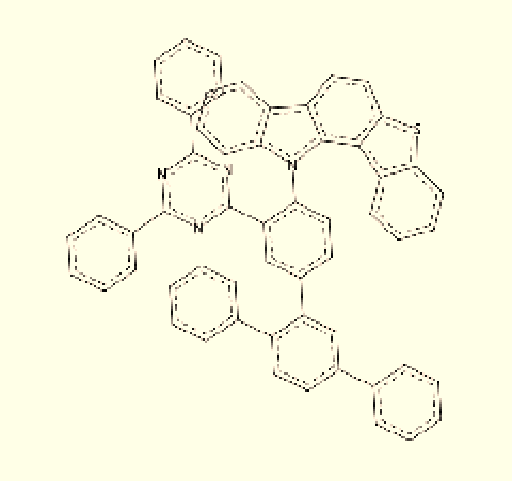 c1ccc(-c2ccc(-c3ccccc3)c(-c3ccc(-n4c5ccccc5c5ccc6sc7ccccc7c6c54)c(-c4nc(-c5ccccc5)nc(-c5ccccc5)n4)c3)c2)cc1